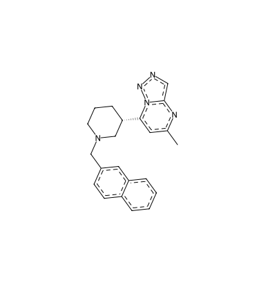 Cc1cc([C@H]2CCCN(Cc3ccc4ccccc4c3)C2)n2nncc2n1